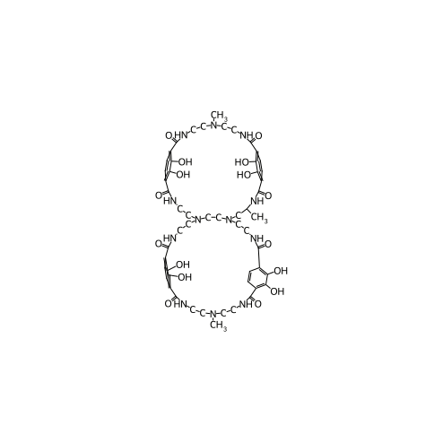 CC1CN2CCNC(=O)c3ccc(c(O)c3O)C(=O)NCCN(C)CCNC(=O)c3ccc(c(O)c3O)C(=O)NCCN(CCNC(=O)c3ccc(c(O)c3O)C(=O)NCCN(C)CCNC(=O)c3ccc(c(O)c3O)C(=O)N1)CC2